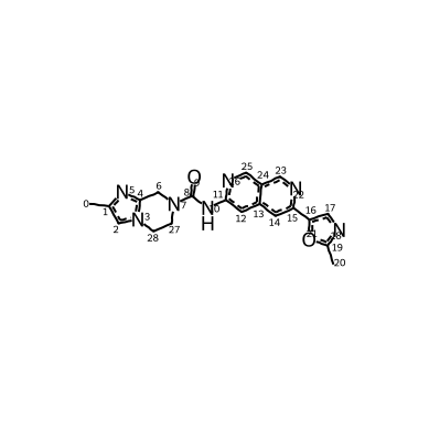 Cc1cn2c(n1)CN(C(=O)Nc1cc3cc(-c4cnc(C)o4)ncc3cn1)CC2